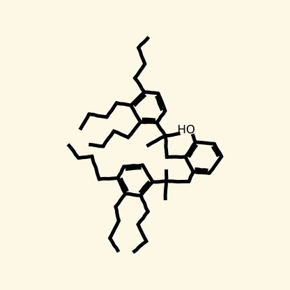 CCCCc1ccc(C(C)(C)Cc2cccc(O)c2CC(C)(C)c2ccc(CCCC)c(CCCC)c2CCCC)c(CCCC)c1CCCC